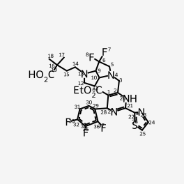 CCOC(=O)C1=C(CN2CC(F)(F)C3C2CCN3CCC(C)(C)C(=O)O)NC(c2nccs2)=NC1c1ccc(F)c(F)c1F